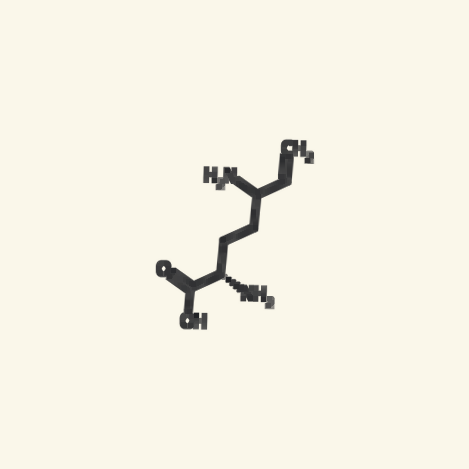 C=CC(N)CC[C@H](N)C(=O)O